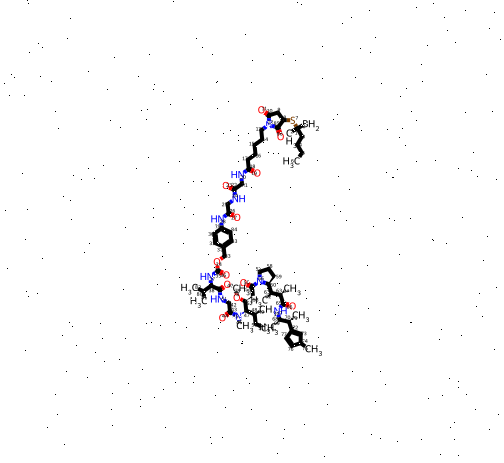 BC(C)(CCCC)SC1CC(=O)N(CCCCCC(=O)NCC(=O)NCC(=O)Nc2ccc(COC(=O)NC(C(=O)NCC(=O)N(C)[C@@H]([C@@H](C)CC)[C@@H](CC(=O)N3CCC[C@H]3[C@H](C)[C@H](C)C(=O)N[C@@H](C)[C@H](C)C3=CC(C)C=C3)OC)C(C)C)cc2)C1=O